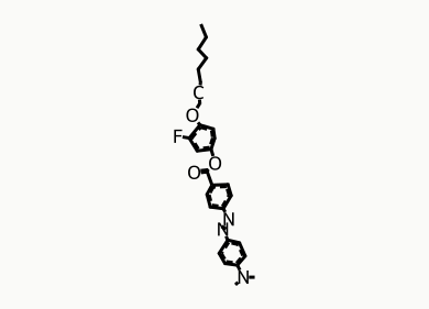 CCCCCCCCOc1ccc(OC(=O)c2ccc(/N=N/c3ccc(N(C)C)cc3)cc2)cc1F